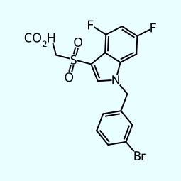 O=C(O)CS(=O)(=O)c1cn(Cc2cccc(Br)c2)c2cc(F)cc(F)c12